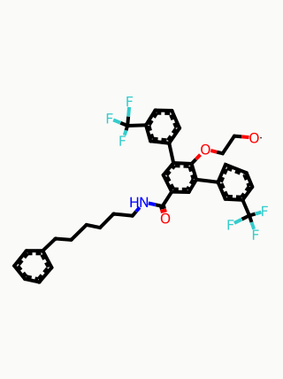 [O]CCOc1c(-c2cccc(C(F)(F)F)c2)cc(C(=O)NCCCCCCc2ccccc2)cc1-c1cccc(C(F)(F)F)c1